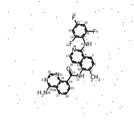 Cc1ccc2c(Nc3c(F)cc(F)cc3F)nccc2c1NC(=O)c1cccc2c(N)ncnc12